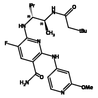 COc1cc(Nc2nc(N[C@H](C(C)C)[C@H](C)NC(=O)CC(C)(C)C)c(F)cc2C(N)=O)ccn1